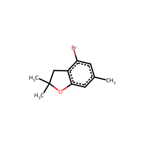 Cc1cc(Br)c2c(c1)OC(C)(C)C2